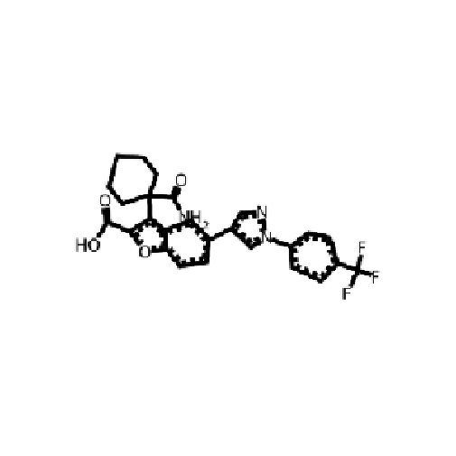 NC(=O)C1(c2c(C(=O)O)oc3ccc(-c4cnn(-c5ccc(C(F)(F)F)cc5)c4)cc23)CCCCC1